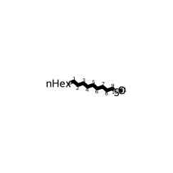 CCCCCCCCCCCCCCC[S+]=O